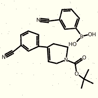 CC(C)(C)OC(=O)N1CC=C(c2cccc(C#N)c2)CC1.N#Cc1cccc(B(O)O)c1